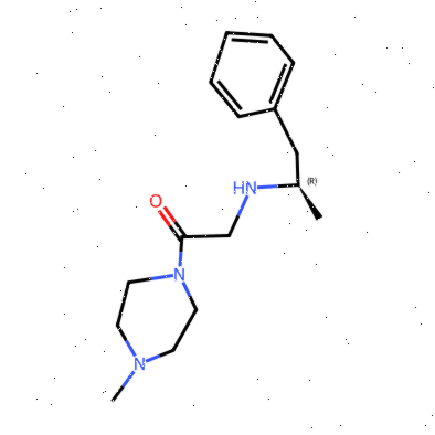 C[C@H](Cc1ccccc1)NCC(=O)N1CCN(C)CC1